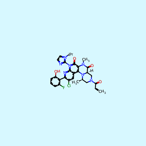 C=CC(=O)N1C[C@@H](C)N2c3c(c(=O)n(-c4nccn4C(C)C)c4nc(-c5c(O)cccc5F)c(Cl)cc34)N(C)C(=O)[C@H]2C1